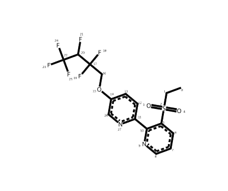 CCS(=O)(=O)c1cccnc1-c1ccc(OCC(F)(F)C(F)C(F)(F)F)cn1